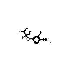 O=[N+]([O-])c1ccc(OC(F)(F)C(F)F)cc1F